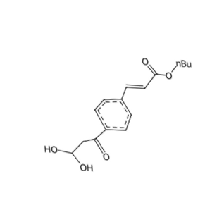 CCCCOC(=O)/C=C/c1ccc(C(=O)CC(O)O)cc1